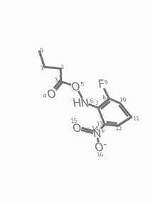 CCCC(=O)ONc1c(F)cccc1[N+](=O)[O-]